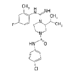 Cc1cc(F)ccc1NC(=N)N1CCN(C(=O)Nc2ccc(Cl)cc2)CC1C(C)C